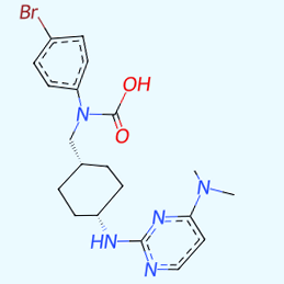 CN(C)c1ccnc(N[C@H]2CC[C@@H](CN(C(=O)O)c3ccc(Br)cc3)CC2)n1